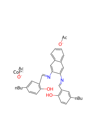 CC(=O)[O-].CC(=O)[O-].CCCCc1ccc(O)c(C=Nc2cc3ccccc3cc2N=Cc2cc(CCCC)ccc2O)c1.[Co+2]